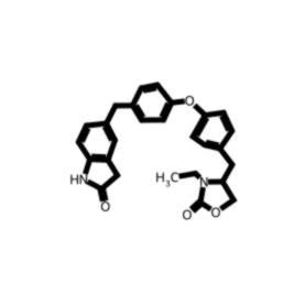 CCN1C(=O)OCC1Cc1ccc(Oc2ccc(Cc3ccc4c(c3)CC(=O)N4)cc2)cc1